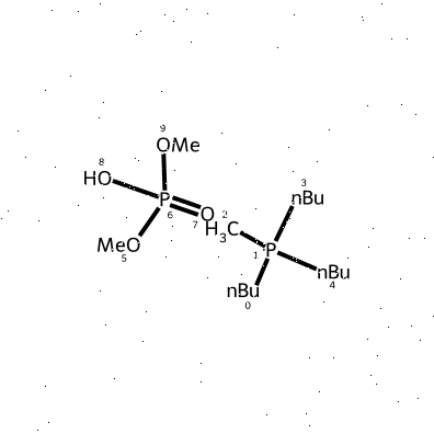 CCCC[P](C)(CCCC)CCCC.COP(=O)(O)OC